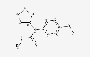 COc1ccc(N(C(=O)CBr)C2CCCC2)cc1